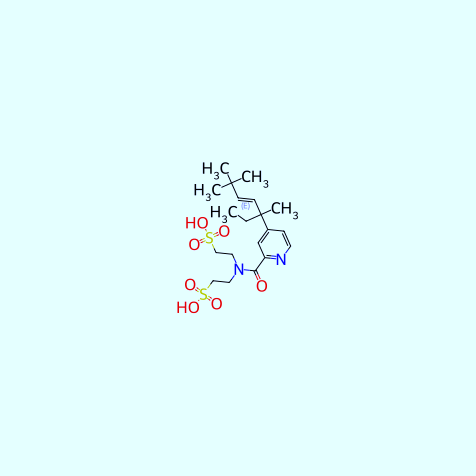 CCC(C)(/C=C/C(C)(C)C)c1ccnc(C(=O)N(CCS(=O)(=O)O)CCS(=O)(=O)O)c1